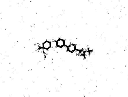 COC[C@]1(C(=O)O)CC[C@H](Oc2ccc(-c3ccc(-c4nc(C(F)(F)F)c(C)[nH]4)cn3)cc2)CC1